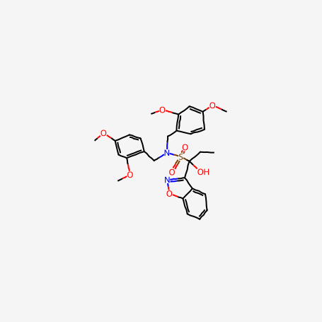 CCC(O)(c1noc2ccccc12)S(=O)(=O)N(Cc1ccc(OC)cc1OC)Cc1ccc(OC)cc1OC